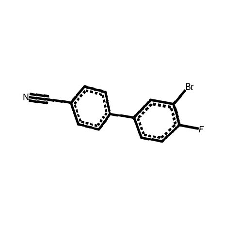 N#Cc1ccc(-c2ccc(F)c(Br)c2)cc1